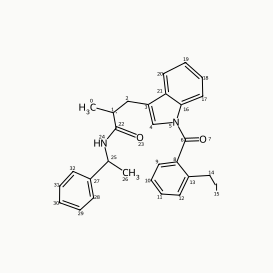 C[C](Cc1cn(C(=O)c2ccccc2CI)c2ccccc12)C(=O)NC(C)c1ccccc1